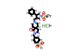 CC(C)S(=O)(=O)N1CC(CN2CCC3(CC2)CCN(Cc2ccc(S(C)(=O)=O)cc2)C3=O)C(c2ccccc2)C1.Cl